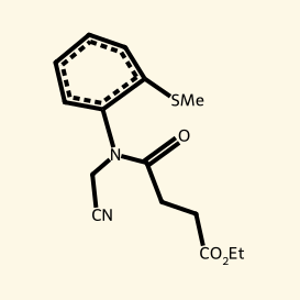 CCOC(=O)CCC(=O)N(CC#N)c1ccccc1SC